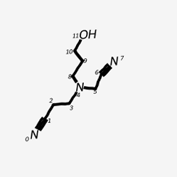 N#CCCN(CC#N)CCCO